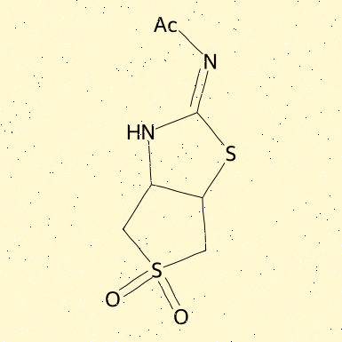 CC(=O)/N=C1\NC2CS(=O)(=O)CC2S1